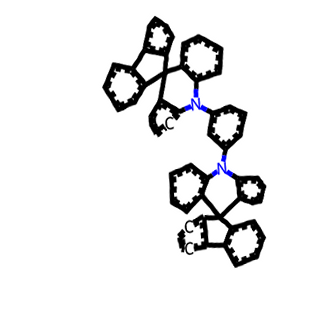 c1cc(N2c3ccccc3C3(c4ccccc4-c4ccccc43)c3ccccc32)cc(N2c3ccccc3C3(c4ccccc4-c4ccccc43)c3ccccc32)c1